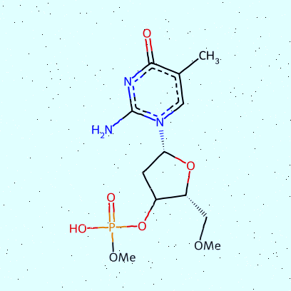 COC[C@H]1O[C@@H](n2cc(C)c(=O)nc2N)CC1OP(=O)(O)OC